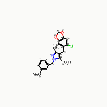 CCCCc1nn(Cc2cccc(OC)c2)c(C(=O)O)c1Cc1cc2c(cc1Cl)OCO2